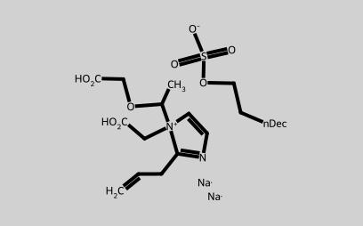 C=CCC1=NC=C[N+]1(CC(=O)O)C(C)OCC(=O)O.CCCCCCCCCCCCOS(=O)(=O)[O-].[Na].[Na]